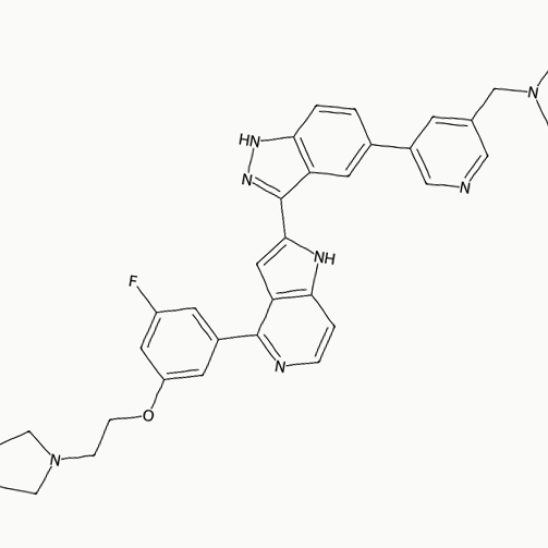 CN(C)Cc1cncc(-c2ccc3[nH]nc(-c4cc5c(-c6cc(F)cc(OCCN7CCCC7)c6)nccc5[nH]4)c3c2)c1